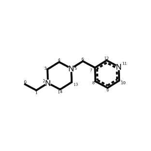 CCN1CCN(Cc2cc[c]nc2)CC1